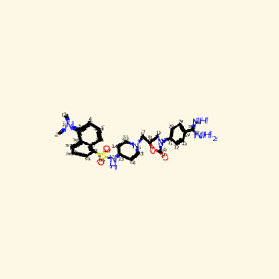 CN(C)c1cccc2c(S(=O)(=O)NC3CCN(CC4CN(c5ccc(C(=N)N)cc5)C(=O)O4)CC3)cccc12